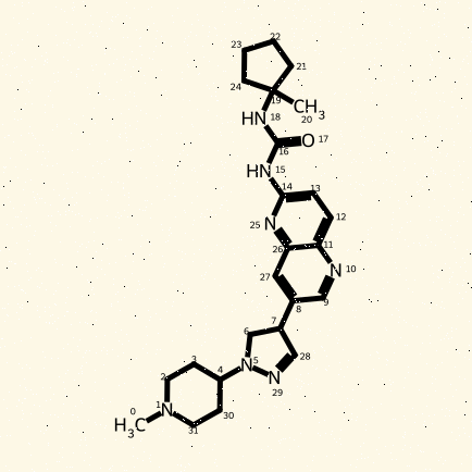 CN1CCC(N2CC(c3cnc4ccc(NC(=O)NC5(C)CCCC5)nc4c3)C=N2)CC1